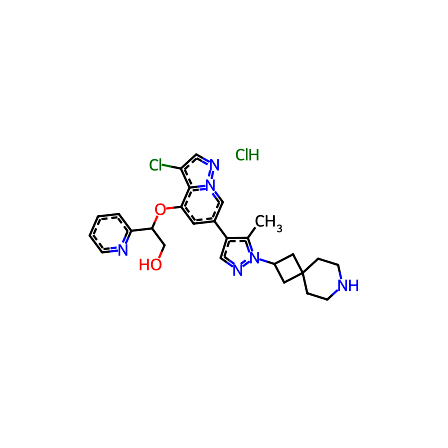 Cc1c(-c2cc(OC(CO)c3ccccn3)c3c(Cl)cnn3c2)cnn1C1CC2(CCNCC2)C1.Cl